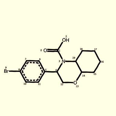 O=C(O)N1C(c2ccc(Br)cc2)COC2CCCCC21